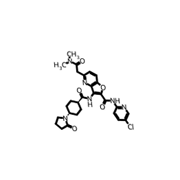 CN(C)C(=O)Cc1ccc2oc(C(=O)Nc3ccc(Cl)cn3)c(NC(=O)[C@H]3CC[C@H](N4CCCC4=O)CC3)c2n1